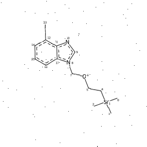 C[Si](C)(C)CCOCn1cnc2c(I)cccc21